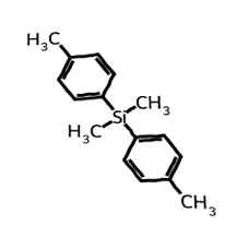 Cc1ccc([Si](C)(C)c2ccc(C)cc2)cc1